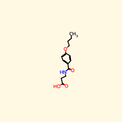 CCCCOc1ccc(C(=O)NCCC(=O)O)cc1